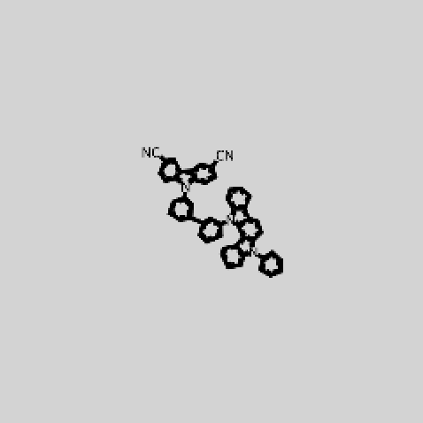 N#Cc1ccc2c(c1)c1cc(C#N)ccc1n2-c1cccc(-c2cccc(-n3c4ccccc4c4ccc5c(c6ccccc6n5-c5ccccc5)c43)c2)c1